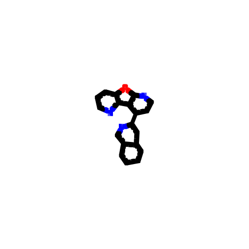 c1ccc2cc(-c3ccnc4oc5cccnc5c34)ncc2c1